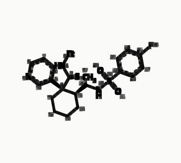 CCNC(=S)[C@@]1(c2cccnc2)CCCC[C@@H]1C(C)NS(=O)(=O)c1ccc(F)cc1